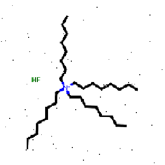 CCCCCCCC[N+](CCCCCCCC)(CCCCCCCC)CCCCCCCC.F